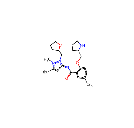 Cn1c(C(C)(C)C)cc(=NC(=O)c2cc(C(F)(F)F)ccc2OC[C@@H]2CCCN2)n1C[C@H]1CCCO1